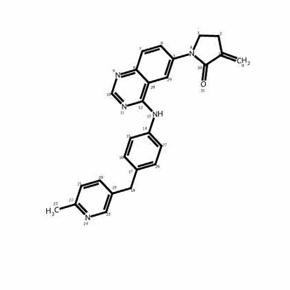 C=C1CCN(c2ccc3ncnc(Nc4ccc(Cc5ccc(C)nc5)cc4)c3c2)C1=O